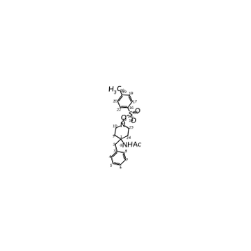 CC(=O)NC1(Cc2ccccc2)CCN(OS(=O)(=O)c2ccc(C)cc2)CC1